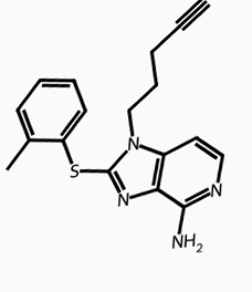 C#CCCCn1c(Sc2ccccc2C)nc2c(N)nccc21